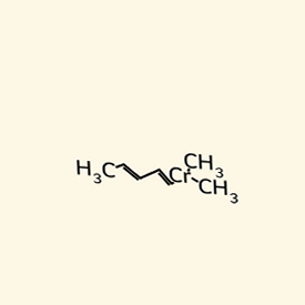 CC=CC=[CH][Cr]([CH3])[CH3]